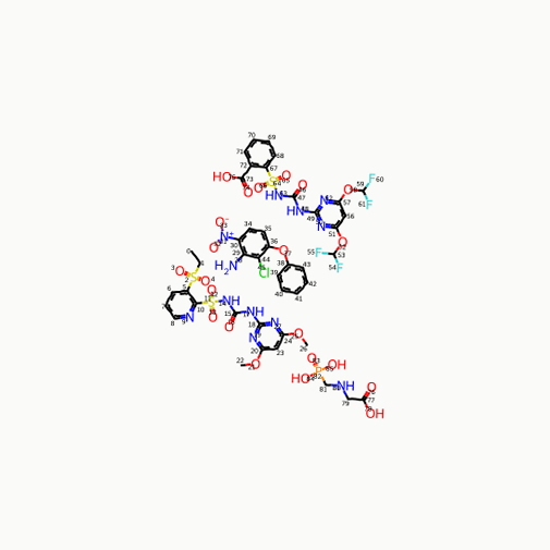 CCS(=O)(=O)c1cccnc1S(=O)(=O)NC(=O)Nc1nc(OC)cc(OC)n1.Nc1c([N+](=O)[O-])ccc(Oc2ccccc2)c1Cl.O=C(Nc1nc(OC(F)F)cc(OC(F)F)n1)NS(=O)(=O)c1ccccc1C(=O)O.O=C(O)CNCP(=O)(O)O